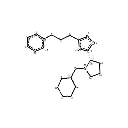 c1ccc(CCCc2noc([C@@H]3CCCN3CC3CCCCC3)n2)cc1